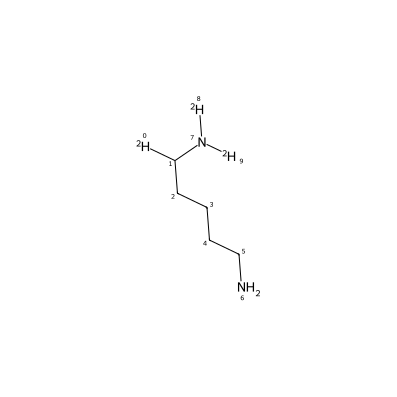 [2H]C(CCCCN)N([2H])[2H]